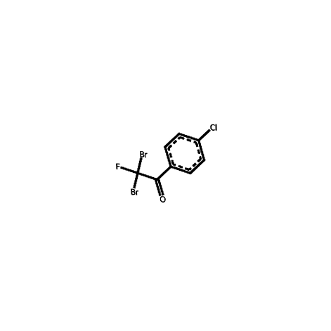 O=C(c1ccc(Cl)cc1)C(F)(Br)Br